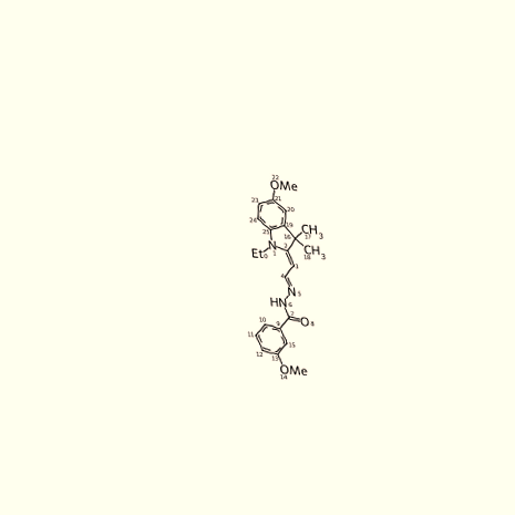 CCN1/C(=C\C=N\NC(=O)c2cccc(OC)c2)C(C)(C)c2cc(OC)ccc21